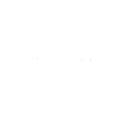 C=CC=CCCCCCC(=O)OCC